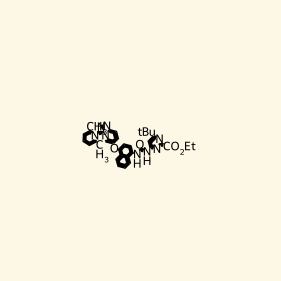 CCOC(=O)c1nc(NC(=O)N[C@H]2CC[C@@H](Oc3ccc4nnc(N5[C@H](C)CCC[C@@H]5C)n4c3)c3ccccc32)cc(C(C)(C)C)n1